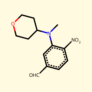 CN(c1cc(C=O)ccc1[N+](=O)[O-])C1CCOCC1